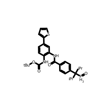 CC(C)C([PH2]=O)(c1ccc(C(=O)Nc2cc(-c3cccs3)ccc2NC(=O)OC(C)(C)C)cc1)C(C)C